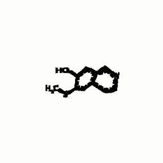 CSc1cc2ccncc2cc1O